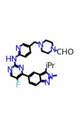 CC(C)c1c2cc(-c3nc(Nc4ccc(CN5CCN(C=O)CC5)cn4)ncc3F)ccc2nn1C